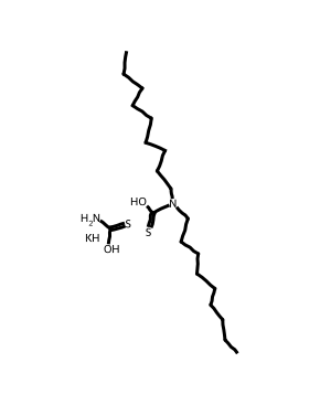 CCCCCCCCCN(CCCCCCCCC)C(O)=S.NC(O)=S.[KH]